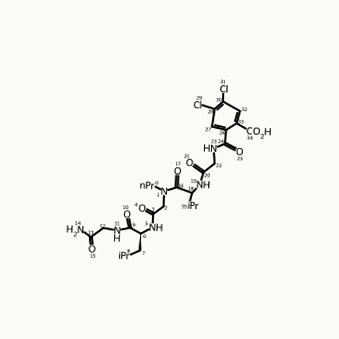 CCCN(CC(=O)N[C@@H](CC(C)C)C(=O)NCC(N)=O)C(=O)C(NC(=O)CNC(=O)c1cc(Cl)c(Cl)cc1C(=O)O)C(C)C